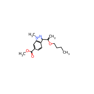 C=C(OCCCC)c1nn(C)c2cc(C(=O)OC)ccc12